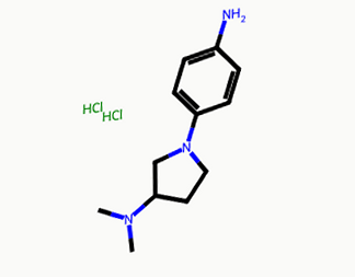 CN(C)C1CCN(c2ccc(N)cc2)C1.Cl.Cl